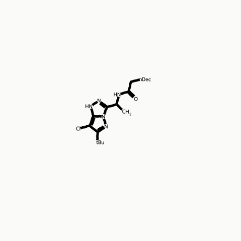 CCCCCCCCCCCC(=O)NC(C)c1n[nH]c2c(Cl)c(C(C)(C)C)nn12